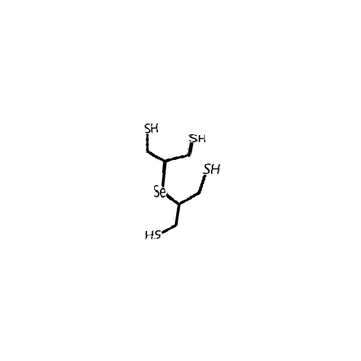 SCC(CS)[Se]C(CS)CS